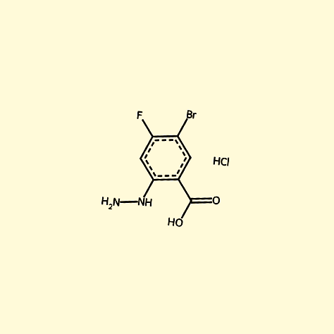 Cl.NNc1cc(F)c(Br)cc1C(=O)O